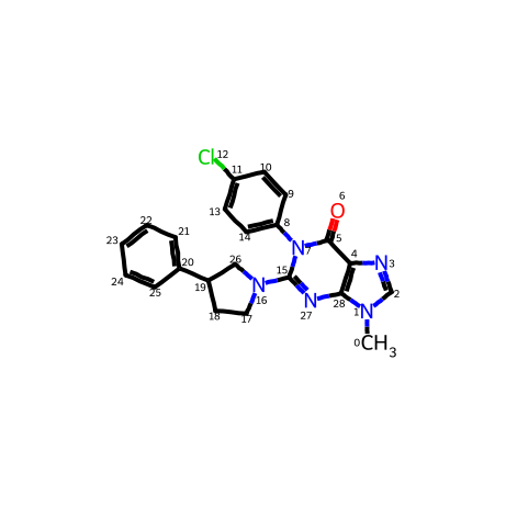 Cn1cnc2c(=O)n(-c3ccc(Cl)cc3)c(N3CCC(c4ccccc4)C3)nc21